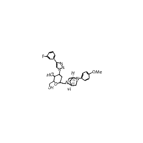 COc1ccc(N2C[C@@H]3C[C@H]2CN3CC2CC(n3cc(-c4cccc(F)c4)nn3)C(O)C(CO)O2)cc1